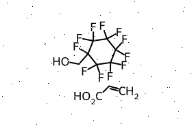 C=CC(=O)O.OCC1(F)C(F)(F)C(F)(F)C(F)(F)C(F)(F)C1(F)F